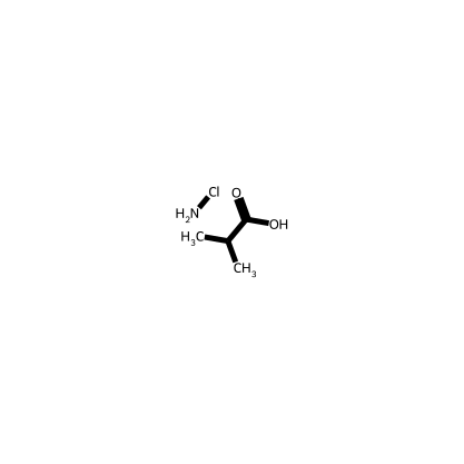 CC(C)C(=O)O.NCl